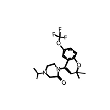 CC(C)N1CCN(C2=CC(C)(C)Oc3ccc(OC(F)(F)F)cc32)C(=O)C1